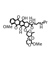 COc1cccc2c1C(=O)c1c(O)c3c(c(O)c1C2=O)CC(O)(C(=O)NCCNC(C)C)CC3OC1CC2C(OC3C(OC)OCCN23)C(C)O1